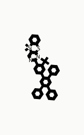 CC(C)(C)c1cc(-c2cc(-c3ccccc3)c(-c3ccccc3)cc2-c2ccccc2)ccc1-c1ncc2c(n1)Sc1ccccc1[Si]2(C)C